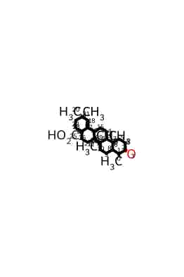 CC1C(=O)CCC2(C)C1CCC1(C)C2CCC2C3=CC(C)(C)CCC3(C(=O)O)CCC21C